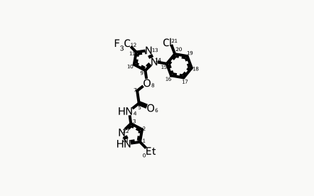 CCc1cc(NC(=O)COc2cc(C(F)(F)F)nn2-c2ccccc2Cl)n[nH]1